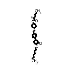 CCCCCCCCOc1ccc(-c2ccc(CC[C@H]3CC[C@H](OC(=O)[C@@H](F)CCCC)CC3)cc2)cc1Cl